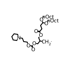 [CH2]C(COC(=O)CCC(OCCCCCCCC)OCCCCCCCC)COC(=O)OCCCN1CCCCC1